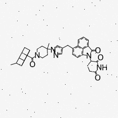 CC1C2C3CC4C1C2C34C(=O)N1CCC(C)(n2cc(Cc3ccc4c5c(cccc35)C(=O)N4C3CCC(=O)NC3=O)cn2)CC1